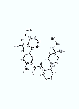 COc1ccnc(-c2cnc(N)c(C(=O)Nc3ncccc3N3CCC(N)(CCO)CC3)n2)c1C(F)(F)F